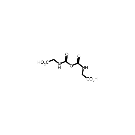 O=C(O)CNC(=O)OC(=O)NCC(=O)O